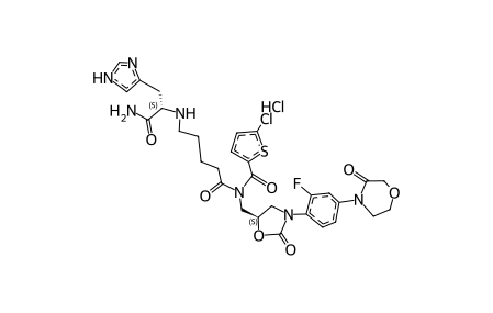 Cl.NC(=O)[C@H](Cc1c[nH]cn1)NCCCCC(=O)N(C[C@H]1CN(c2ccc(N3CCOCC3=O)cc2F)C(=O)O1)C(=O)c1ccc(Cl)s1